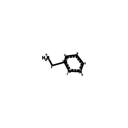 BCc1cccnn1